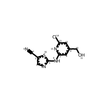 N#Cc1cnc(Nc2cc(CO)cc(Cl)n2)s1